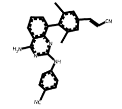 Cc1cc(C=CC#N)cc(C)c1-c1cccc2c(N)nc(Nc3ccc(C#N)cc3)nc12